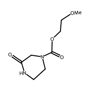 COCCOC(=O)N1CCNC(=O)C1